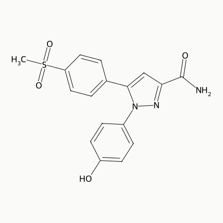 CS(=O)(=O)c1ccc(-c2cc(C(N)=O)nn2-c2ccc(O)cc2)cc1